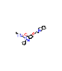 O=C(Cn1c(-c2ccccc2)nc2ccc(OCCCN3CCc4ccccc4C3)cc2c1=O)NCC1CC1